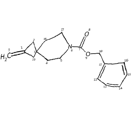 C=C1CC2(CCN(C(=O)OCc3ccccc3)CC2)C1